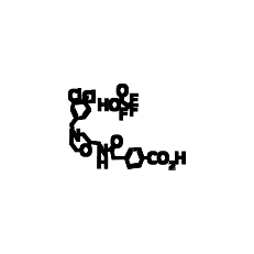 O=C(Cc1ccc(C(=O)O)cc1)NCC1CN(Cc2ccc(Cl)c(Cl)c2)CCO1.O=C(O)C(F)(F)F